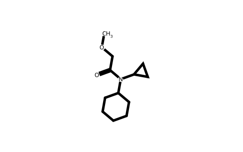 COCC(=O)N(C1CCCCC1)C1CC1